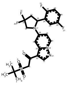 CC(C)(C)S(=O)(=O)CC(=O)c1cnn2ccc(N3CC(F)(F)CC3c3cc(F)ccc3F)cc12